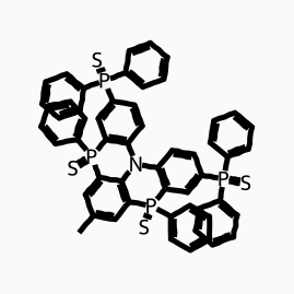 Cc1cc2c3c(c1)P(=S)(c1ccccc1)c1cc(P(=S)(c4ccccc4)c4ccccc4)ccc1N3c1ccc(P(=S)(c3ccccc3)c3ccccc3)cc1P2(=S)c1ccccc1